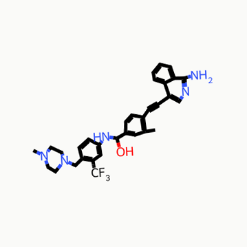 Cc1cc(C(O)Nc2ccc(CN3CCN(C)CC3)c(C(F)(F)F)c2)ccc1C#Cc1cnc(N)c2ccccc12